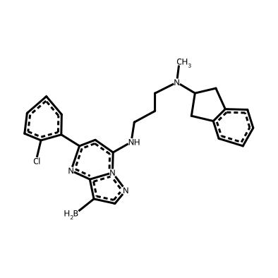 Bc1cnn2c(NCCCN(C)C3Cc4ccccc4C3)cc(-c3ccccc3Cl)nc12